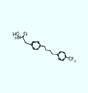 O=C(Cc1ccc(CCCCc2ccc(C(F)(F)F)cc2)cc1)NO